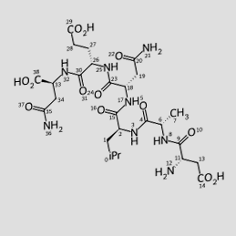 CC(C)C[C@H](NC(=O)[C@H](C)NC(=O)[C@@H](N)CC(=O)O)C(=O)N[C@@H](CC(N)=O)C(=O)N[C@@H](CCC(=O)O)C(=O)N[C@@H](CC(N)=O)C(=O)O